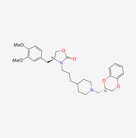 COc1ccc(C[C@H]2COC(=O)N2CCCC2CCN(C[C@H]3COc4ccccc4O3)CC2)cc1OC